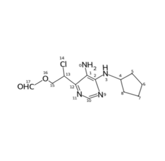 Nc1c(NC2CCCC2)ncnc1C(Cl)COC=O